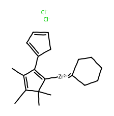 CC1=C(C)C(C)(C)[C]([Zr+2]=[C]2CCCCC2)=C1C1=CC=CC1.[Cl-].[Cl-]